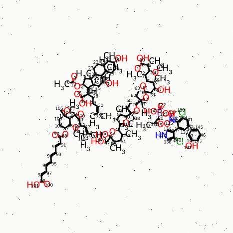 CC(=O)O[C@H]1C[C@@]2(C)[C@@H](C[C@@H](O)[C@H]3[C@@]4(C)CC[C@@H](O)[C@@H](C)[C@@H]4CC[C@@]32C)/C1=C(\CCC=C(C)C)C(=O)O.CC[C@@]1([C@@H]2O[C@@H]([C@H]3O[C@@](O)(CO)[C@H](C)C[C@@H]3C)C[C@@H]2C)CC[C@H]([C@]2(C)CC[C@]3(C[C@H](O)[C@@H](C)[C@@H]([C@@H](C)[C@@H](OC)[C@H](C)C(=O)O)O3)O2)O1.CO[C@@H]1[C@H](OC(=O)/C=C/C=C/C=C/C=C/C(=O)O)CC[C@]2(CO2)[C@H]1[C@@]1(C)OC1CC=C(C)C.C[C@@H]1O[C@@H]1P(=O)(O)O.O=[N+]([O-])c1c(Cl)cccc1-c1c[nH]cc1Cl.Oc1ccccc1